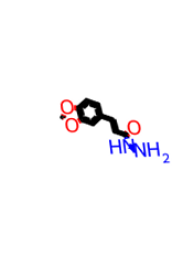 NNC(=O)C=Cc1ccc2c(c1)OCO2